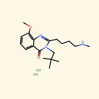 CNCCCCc1nc2c(OC)cccc2c(=O)n1CC(C)(C)C.Cl.Cl